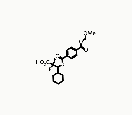 COCOC(=O)c1ccc(C(=O)OC(C2CCCCC2)C(F)(F)C(=O)O)cc1